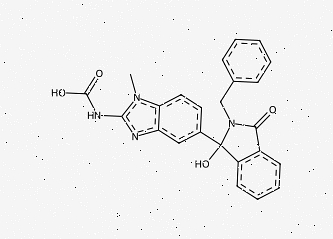 Cn1c(NC(=O)O)nc2cc(C3(O)c4ccccc4C(=O)N3Cc3ccccc3)ccc21